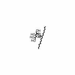 CCCCCCCCCC(CCCCCCC)C(=O)O.O=C(CO)[C@H](O)[C@@H](O)[C@H](O)CO